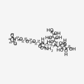 NC(=O)[C@H](CCCCN(C[C@H](O)[C@@H](O)[C@H](O)[C@H](O)CO)C[C@H](O)[C@@H](O)[C@H](O)[C@H](O)CO)NC(=O)CCOCCOCCOCCN1C(=O)C=CC1=O